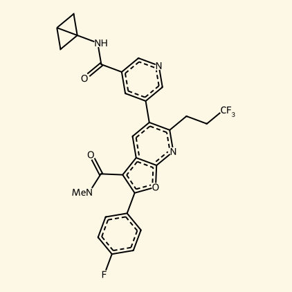 CNC(=O)c1c(-c2ccc(F)cc2)oc2nc(CCC(F)(F)F)c(-c3cncc(C(=O)NC45CC4C5)c3)cc12